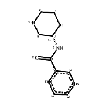 O=C(N[C@H]1CCC[N]C1)c1ccccc1